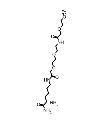 CCOCCOCC(=O)NCCOCCOCC(=O)NCCCC[C@H](N)C(N)=O